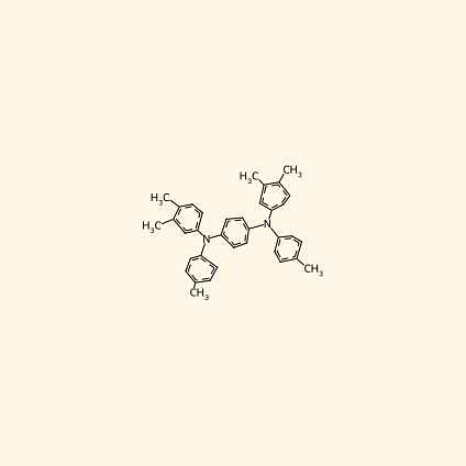 Cc1ccc(N(c2ccc(N(c3ccc(C)cc3)c3ccc(C)c(C)c3)cc2)c2ccc(C)c(C)c2)cc1